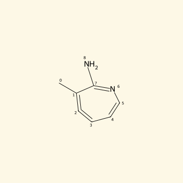 CC1=C=CC=CN=C1N